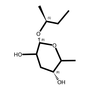 CC[C@H](C)O[C@@H]1OC(C)[C@H](O)CC1O